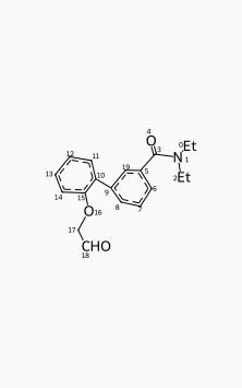 CCN(CC)C(=O)c1cccc(-c2ccccc2OCC=O)c1